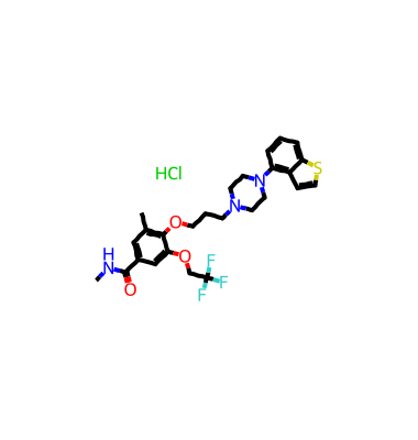 CNC(=O)c1cc(C)c(OCCCN2CCN(c3cccc4sccc34)CC2)c(OCC(F)(F)F)c1.Cl